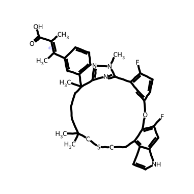 C/C(C(=O)O)=C(/C)c1cccc(C2(C)CCCC(C)(C)CSCCc3c(c(F)cc4[nH]ccc34)Oc3ccc(F)c(c3)-c3nc2nn3C)c1